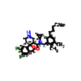 COCCCc1cc(C)c(C)c(CN(C(=O)C2CNCC[C@@]23OCc2cc(F)c(F)cc23)C2CC2)c1